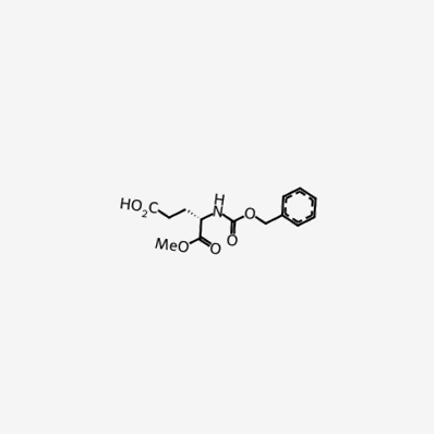 COC(=O)[C@H](CCC(=O)O)NC(=O)OCc1ccccc1